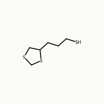 SCCCC1CSCS1